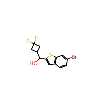 OC(c1cc2ccc(Br)cc2s1)C1CC(F)(F)C1